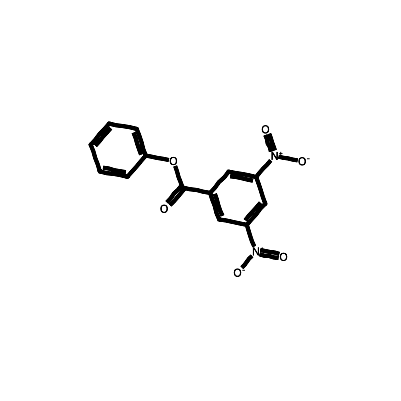 O=C(Oc1ccccc1)c1cc([N+](=O)[O-])cc([N+](=O)[O-])c1